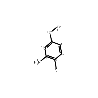 CC(C)Oc1ccc(F)c(N)n1